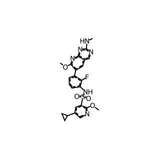 CNc1ncc2cc(-c3cccc(NS(=O)(=O)c4cc(C5CC5)cnc4OC)c3F)c(OC)nc2n1